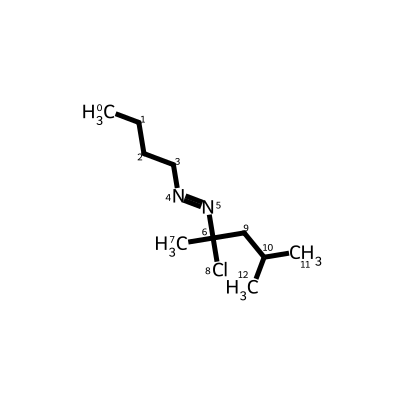 CCCCN=NC(C)(Cl)CC(C)C